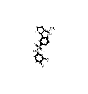 C[C@@H]1Nc2ccc(S(=O)(=O)Nc3ccc(Cl)c(Cl)c3)cc2C2OCCC21